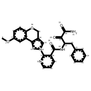 COc1ccc2c(c1)-c1nn(-c3ncccc3C(=O)NC(Cc3ccccc3)C(=O)C(N)=O)cc1CO2